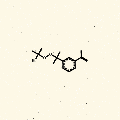 C=C(C)c1cccc(C(C)(C)OOC(C)(C)CC)c1